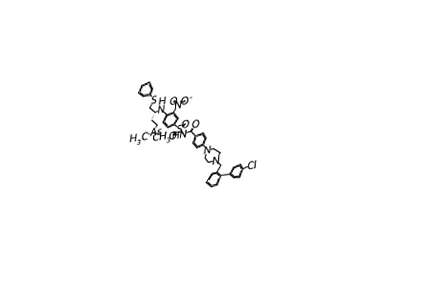 C[As](C)CC[C@H](CSc1ccccc1)Nc1ccc(S(=O)(=O)NC(=O)c2ccc(N3CCN(Cc4ccccc4-c4ccc(Cl)cc4)CC3)cc2)cc1[N+](=O)[O-]